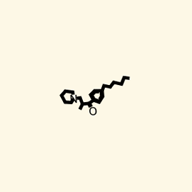 CCCCCCc1ccc(C(=O)C(C)CN2CCCCC2)cc1